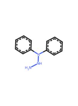 NNN(c1ccccc1)c1ccccc1